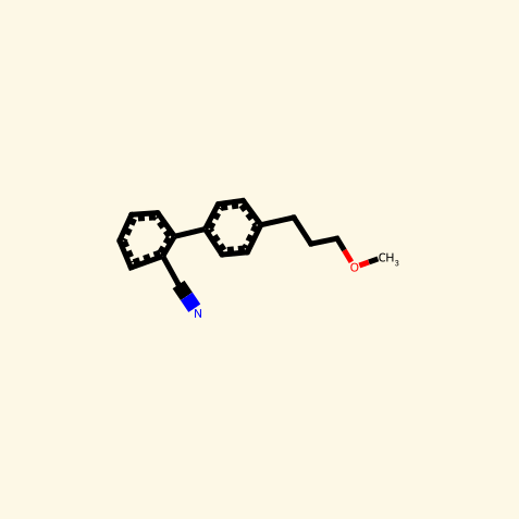 COCCCc1ccc(-c2ccccc2C#N)cc1